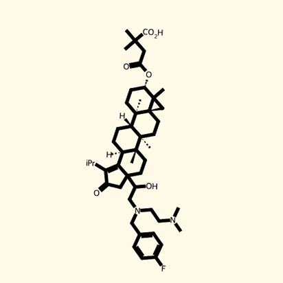 CC(C)C1=C2[C@H]3CC[C@@H]4[C@@]5(C)CC[C@H](OC(=O)CC(C)(C)C(=O)O)C6(C)C[C@]65CC[C@@]4(C)[C@]3(C)CCC2(C(O)CN(CCN(C)C)Cc2ccc(F)cc2)CC1=O